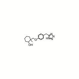 CC1(COc2ccc(Cc3nnn[nH]3)cc2)CCCCC1O